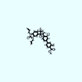 C=CCn1c(=O)n(CC=C)c2cc(C(O)(C(C)c3ccc(-c4ccc(C(=O)OC)c(F)c4)cc3Cl)C(F)(F)F)ccc21